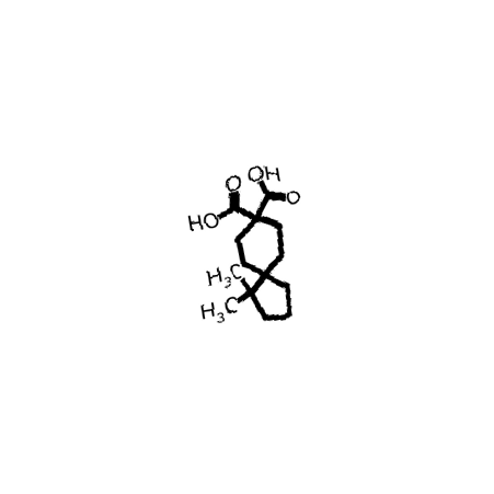 CC1(C)CCCC12CCC(C(=O)O)(C(=O)O)CC2